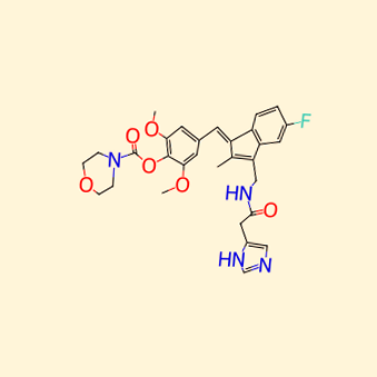 COc1cc(C=C2C(C)=C(CNC(=O)Cc3cnc[nH]3)c3cc(F)ccc32)cc(OC)c1OC(=O)N1CCOCC1